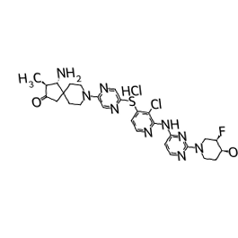 C[C@@H]1C(=O)CC2(CCN(c3cnc(Sc4ccnc(Nc5ccnc(N6CC[C@H](O)[C@H](F)C6)n5)c4Cl)cn3)CC2)[C@H]1N.Cl